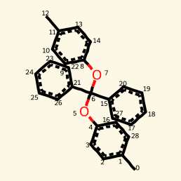 Cc1ccc(OC(Oc2ccc(C)cc2)(c2ccccc2)c2ccccc2)cc1